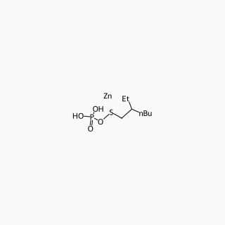 CCCCC(CC)CSOP(=O)(O)O.[Zn]